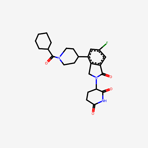 O=C1CCC(N2Cc3c(cc(F)cc3C3CCN(C(=O)C4CCCCC4)CC3)C2=O)C(=O)N1